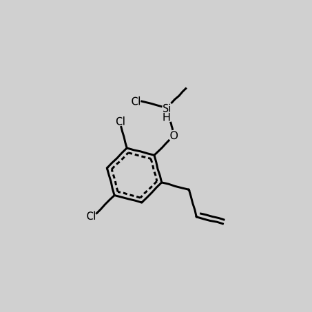 C=CCc1cc(Cl)cc(Cl)c1O[SiH](C)Cl